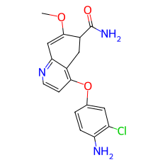 COC1=Cc2nccc(Oc3ccc(N)c(Cl)c3)c2CC1C(N)=O